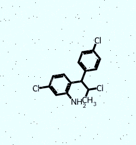 CC(Cl)C(c1ccc(Cl)cc1)c1ccc(Cl)cc1N